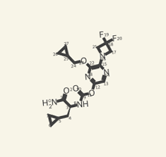 NC(=O)[C@H](CC1CC1)NC(=O)Oc1cnc(N2CC(F)(F)C2)c(OCC2CC2)n1